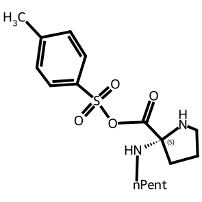 CCCCCN[C@@]1(C(=O)OS(=O)(=O)c2ccc(C)cc2)CCCN1